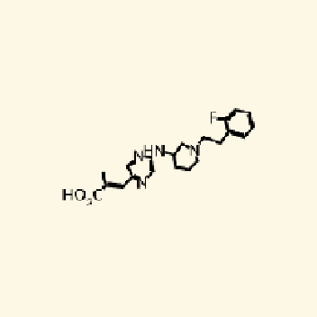 C/C(=C\c1cnc(N[C@@H]2CCCN(CCc3ccccc3F)C2)cn1)C(=O)O